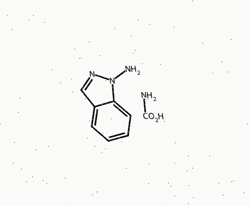 NC(=O)O.Nn1ncc2ccccc21